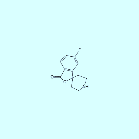 O=C1OC2(CCNCC2)c2cc(F)ccc21